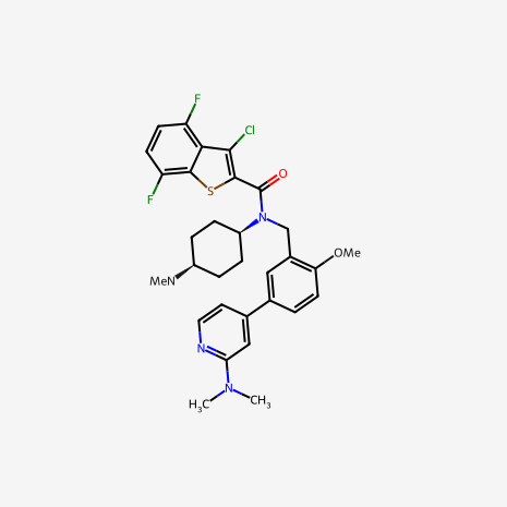 CN[C@H]1CC[C@@H](N(Cc2cc(-c3ccnc(N(C)C)c3)ccc2OC)C(=O)c2sc3c(F)ccc(F)c3c2Cl)CC1